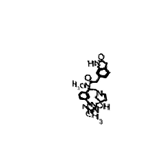 CN(C(=O)Cc1ccc2c(c1)NC(=O)C2)C(CN1CC[C@H](O)C1)c1cccc(-c2nnn(C)n2)c1